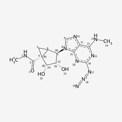 CNC(=O)[C@]12CC1[C@@H](n1cnc3c(NC)nc(N=[N+]=[N-])nc31)[C@H](O)[C@@H]2O